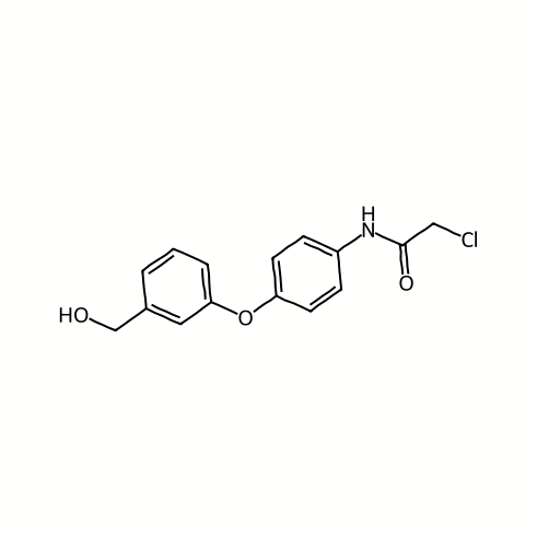 O=C(CCl)Nc1ccc(Oc2cccc(CO)c2)cc1